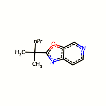 CCCC(C)(C)c1nc2ccncc2o1